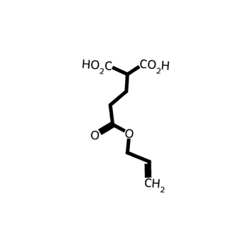 C=CCOC(=O)CCC(C(=O)O)C(=O)O